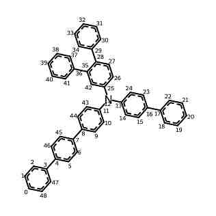 c1ccc(-c2ccc(-c3ccc(N(c4ccc(-c5ccccc5)cc4)c4ccc(-c5ccccc5)c(-c5ccccc5)c4)cc3)cc2)cc1